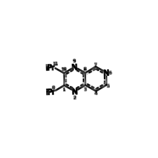 CC(C)c1nc2ccncc2nc1C(C)C